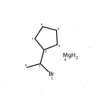 CC(Br)C1CCCC1.[MgH2]